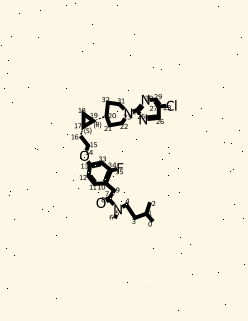 CC(C)CCN(C)C(=O)Cc1ccc(OCC[C@@H]2C[C@@H]2C2CCN(c3ncc(Cl)cn3)CC2)cc1F